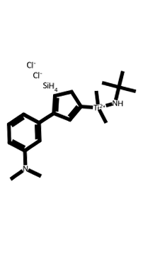 CN(C)c1cccc(C2=CC[C]([Ti+2]([CH3])([CH3])[NH]C(C)(C)C)=C2)c1.[Cl-].[Cl-].[SiH4]